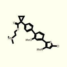 CNc1cc(Cl)sc1-c1ccc(-c2ccc(C3(C(=O)OCC[SiH](C)C)CC3)cc2)c(OC)c1